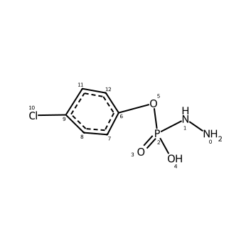 NNP(=O)(O)Oc1ccc(Cl)cc1